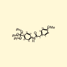 COc1ccc(CC(=O)Nc2ccc(C(OC(C)C)(OC(C)C)OC(C)C)cc2)cc1